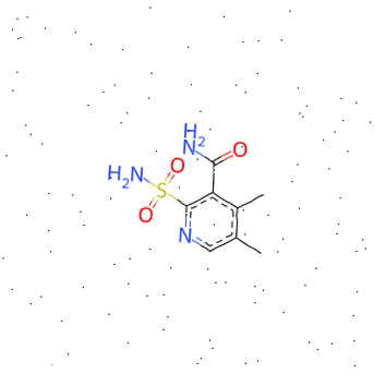 Cc1cnc(S(N)(=O)=O)c(C(N)=O)c1C